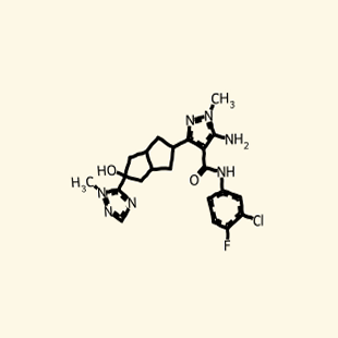 Cn1ncnc1C1(O)CC2CC(c3nn(C)c(N)c3C(=O)Nc3ccc(F)c(Cl)c3)CC2C1